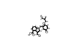 COC(=O)c1cccc2c1c(C=O)cn2Cc1cc(Cl)ccc1OCC(C)CF